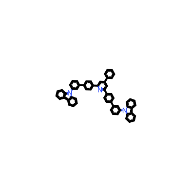 c1ccc(-c2cc(-c3ccc(-c4cccc(-n5c6ccccc6c6ccccc65)c4)cc3)nc(-c3ccc(-c4cccc(-n5c6ccccc6c6ccccc65)c4)cc3)c2)cc1